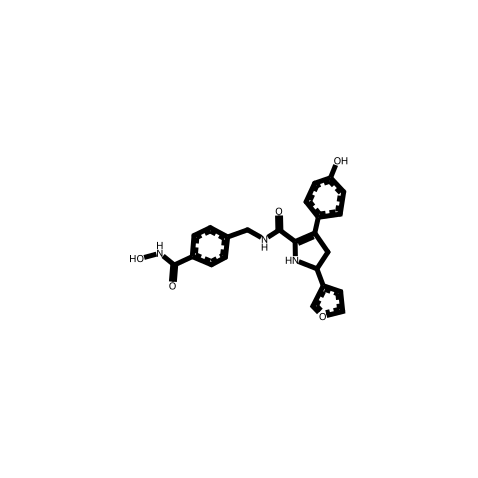 O=C(NCc1ccc(C(=O)NO)cc1)C1=C(c2ccc(O)cc2)CC(c2ccoc2)N1